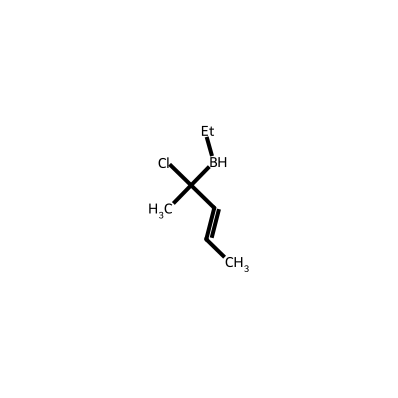 CC=CC(C)(Cl)BCC